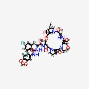 C[C@@H]1C[C@H]2C(=O)O[C@@H](C)[C@H](NC(=O)[C@H](Cc3cc(F)cc(F)c3)NC(=O)Nc3ccc4c(c3)OCO4)C(=O)N3CCC[C@H]3C(=O)N3CCOC[C@H]3C(=O)N[C@@H](C)C(=O)N2C1